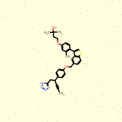 CC#CC(Cc1nnn[nH]1)c1ccc(OCc2ccc3scc(-c4ccc(OCCC(C)(C)O)cc4C)c3c2)cc1